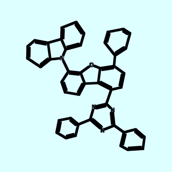 c1ccc(-c2nc(-c3ccccc3)nc(-c3ccc(-c4ccccc4)c4oc5c(-n6c7ccccc7c7ccccc76)cccc5c34)n2)cc1